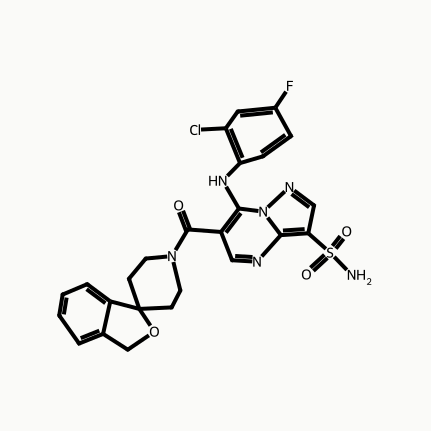 NS(=O)(=O)c1cnn2c(Nc3ccc(F)cc3Cl)c(C(=O)N3CCC4(CC3)OCc3ccccc34)cnc12